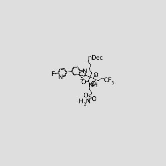 CCCCCCCCCCCCCCC(C(=O)NCCS(N)(=O)=O)(c1nc2ccc(-c3ccc(F)nc3)cc2s1)S(=O)(=O)CCC(F)(F)F